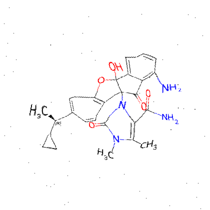 Cc1c(C(N)=O)n(C23C(=O)c4c(N)cccc4C2(O)Oc2cc([C@H](C)C4CC4)ccc23)c(=O)n1C